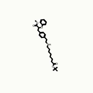 COC(=O)C(Cc1ccc(CCNCCCCCCCC(=O)OC(C)(C)C)cc1)Oc1ccccc1